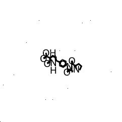 CC(=O)N(C(=O)C1CCCN1)c1ccc(-c2ccc(C(=O)O)c(=O)[nH]2)cc1